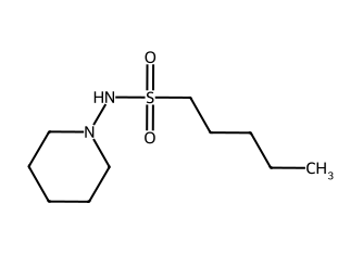 CCCCCS(=O)(=O)NN1CCCCC1